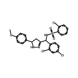 COc1ccc(C2CC(C(NS(=O)(=O)c3ccccc3Cl)c3ccc(Cl)cc3Cl)=NN2)cc1